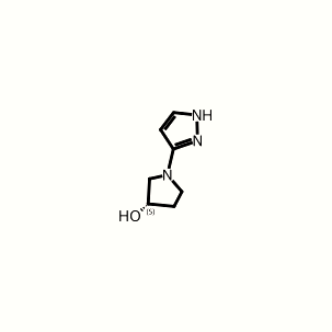 O[C@H]1CCN(c2cc[nH]n2)C1